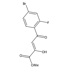 COC(=O)/C(O)=C/C(=O)c1ccc(Br)cc1F